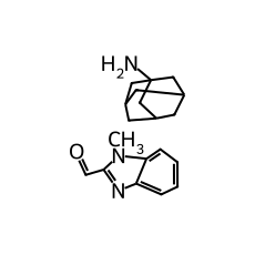 Cn1c(C=O)nc2ccccc21.NC12CC3CC(CC(C3)C1)C2